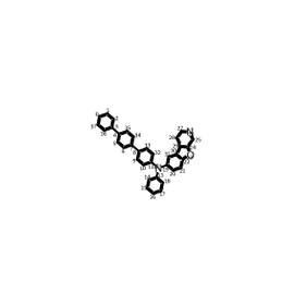 c1ccc(-c2ccc(-c3ccc(N(c4ccccc4)c4ccc5oc6cnccc6c5c4)cc3)cc2)cc1